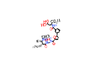 CCCCC[C@@H](C(=O)NCNC(=O)c1ccc(-c2cccc(C(=O)N[C@@H](CC(O)O)C(=O)O)c2)o1)[C@@H](CC)N(O)C=O